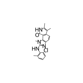 Cc1cccc(Cl)c1Nc1nc2ccc3c(C)c(C)[nH]c(=O)c3c2n1C